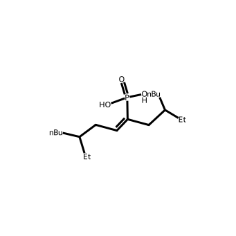 CCCCC(CC)CC=C(CC(CC)CCCC)P(=O)(O)O